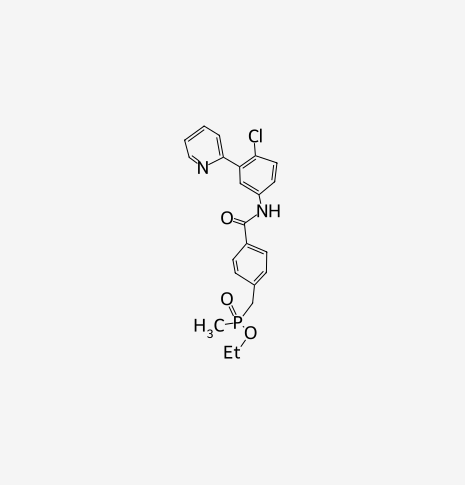 CCOP(C)(=O)Cc1ccc(C(=O)Nc2ccc(Cl)c(-c3ccccn3)c2)cc1